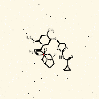 C=CC(=O)N1C2CC[C@@H]1CN(C(=O)C1CC(Sc3cnc(NC(=O)C4CC4)s3)C(C)CC1OC)C2